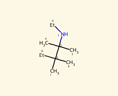 CCNC(C)(C)C(C)(C)CC